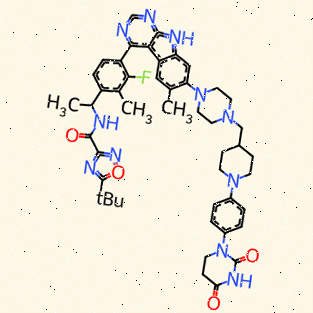 Cc1cc2c(cc1N1CCN(CC3CCN(c4ccc(N5CCC(=O)NC5=O)cc4)CC3)CC1)[nH]c1ncnc(-c3ccc(C(C)NC(=O)c4noc(C(C)(C)C)n4)c(C)c3F)c12